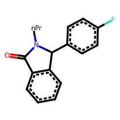 CCCN1C(=O)c2ccccc2C1c1ccc(F)cc1